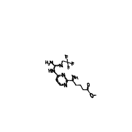 COC(=O)CCCC(=N)c1nccc(NC(N)=NCC(F)(F)F)n1